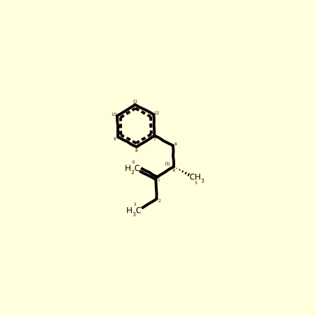 C=C(CC)[C@@H](C)Cc1ccccc1